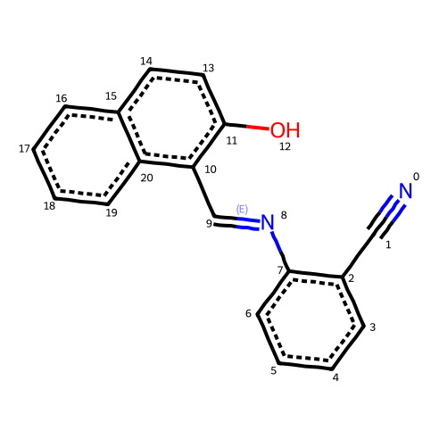 N#Cc1ccccc1/N=C/c1c(O)ccc2ccccc12